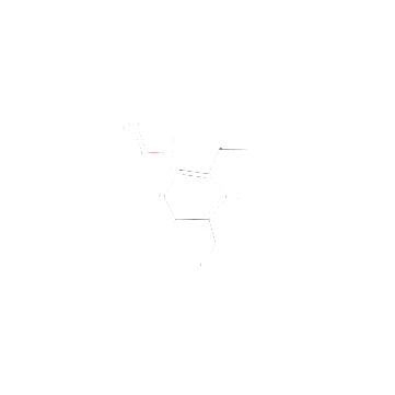 CCc1ccc(OC=O)c(CC)c1